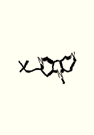 Cn1c2ccncc2c2cnc(CC(C)(C)C)cc21